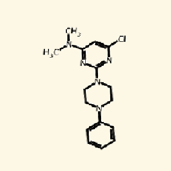 CN(C)c1cc(Cl)nc(N2CCN(c3ccccc3)CC2)n1